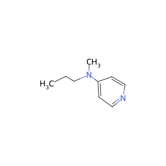 CCCN(C)c1ccncc1